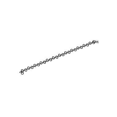 C=CC(=O)OCCOCCOCCOCCOCCOCCOCCOCCOCCOCCOCCOCCOCCOCCOCCOCCOCCOCCOCCOCCOCCOCCOCCOO